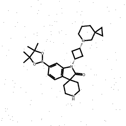 CC1(C)OB(c2ccc3c(c2)N([C@H]2C[C@@H](N4CCCC5(CC5)C4)C2)C(=O)C32CCNCC2)OC1(C)C